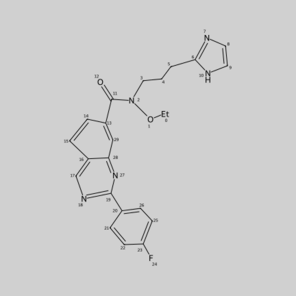 CCON(CCCc1ncc[nH]1)C(=O)c1ccc2cnc(-c3ccc(F)cc3)nc2c1